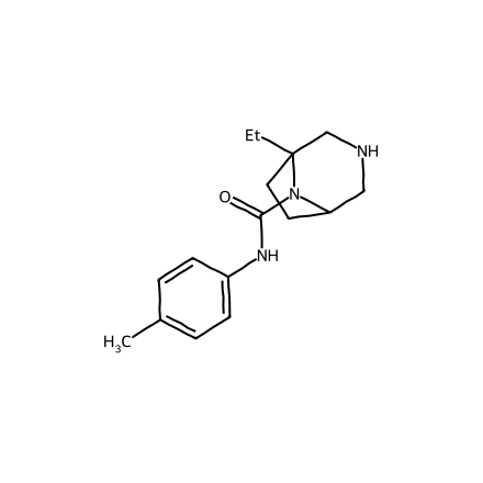 CCC12CCC(CNC1)N2C(=O)Nc1ccc(C)cc1